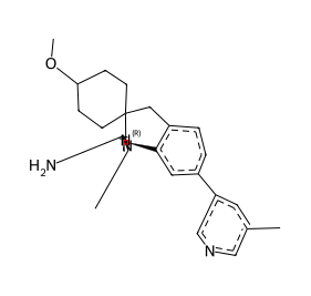 COC1CCC2(CC1)Cc1ccc(-c3cncc(C)c3)cc1[C@@]21N=C(C)C(N)=N1